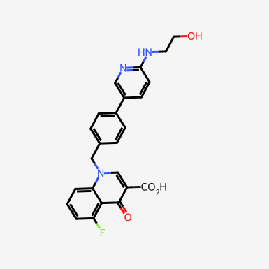 O=C(O)c1cn(Cc2ccc(-c3ccc(NCCO)nc3)cc2)c2cccc(F)c2c1=O